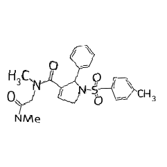 CNC(=O)CN(C)C(=O)C1=CCN(S(=O)(=O)c2ccc(C)cc2)C1c1ccccc1